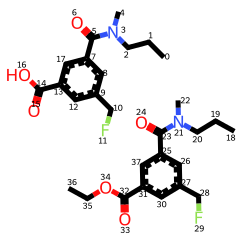 CCCN(C)C(=O)c1cc(CF)cc(C(=O)O)c1.CCCN(C)C(=O)c1cc(CF)cc(C(=O)OCC)c1